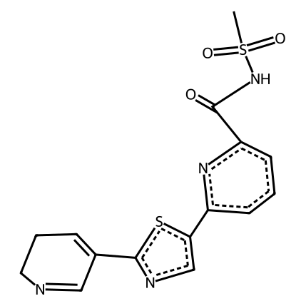 CS(=O)(=O)NC(=O)c1cccc(-c2cnc(C3=CCCN=C3)s2)n1